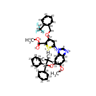 COC(=O)c1sc(-n2cnc3cc(OC)c(O[Si](c4ccccc4)(c4ccccc4)C(C)(C)C)cc32)cc1OCc1ccccc1C(F)(F)F